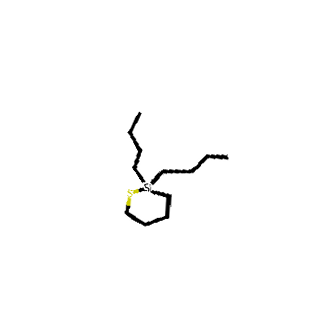 CCCC[Si]1(CCCC)CCCCS1